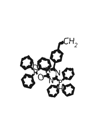 C=Cc1ccc(-c2nc(O[PH](c3ccccc3)(c3ccccc3)c3ccccc3)nc([PH](c3ccccc3)(c3ccccc3)c3ccccc3)n2)cc1